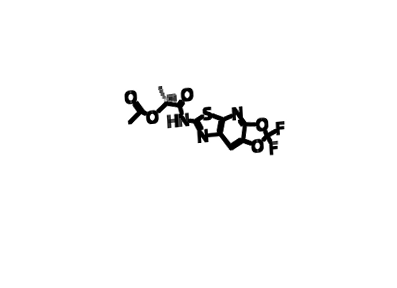 CC(=O)O[C@H](C)C(=O)Nc1nc2cc3c(nc2s1)OC(F)(F)O3